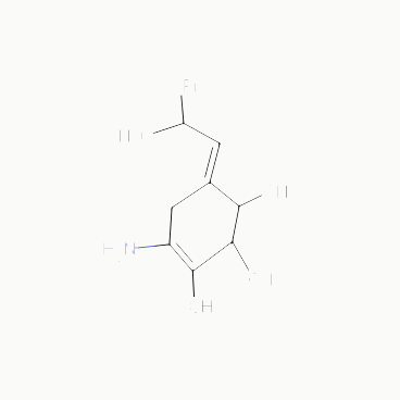 CC1=C(N)C/C(=C\C(C)C(C)C)C(C)C1C